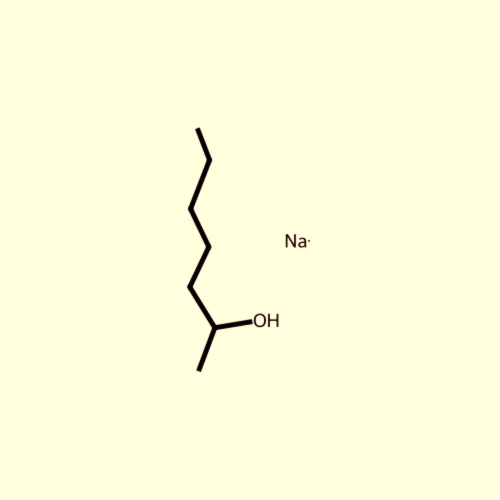 CCCCCC(C)O.[Na]